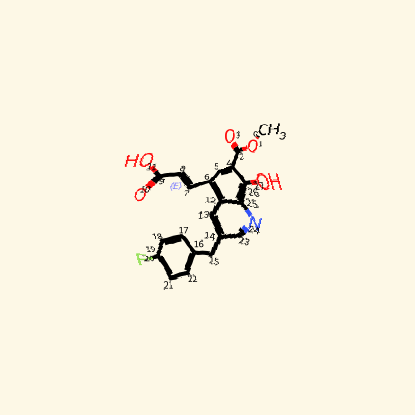 COC(=O)c1cc(/C=C/C(=O)O)c2cc(Cc3ccc(F)cc3)cnc2c1O